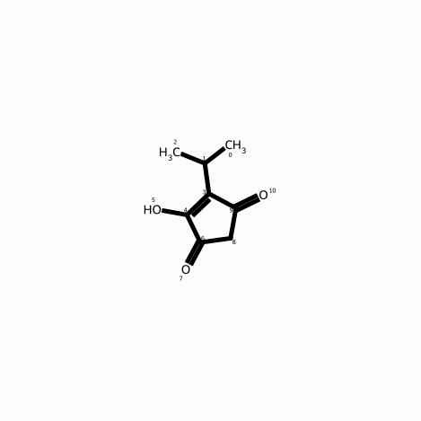 CC(C)C1=C(O)C(=O)CC1=O